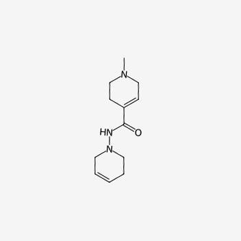 CN1CC=C(C(=O)NN2CC=CCC2)CC1